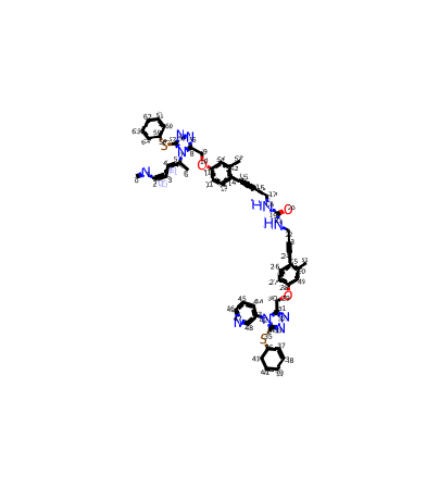 C=N/C=C\C=C(/C)n1c(COc2ccc(C#CCNC(=O)NCC#Cc3ccc(OCc4nnc(SC5C=CCCC5)n4-c4cccnc4)cc3C)c(C)c2)nnc1SC1C=CCCC1